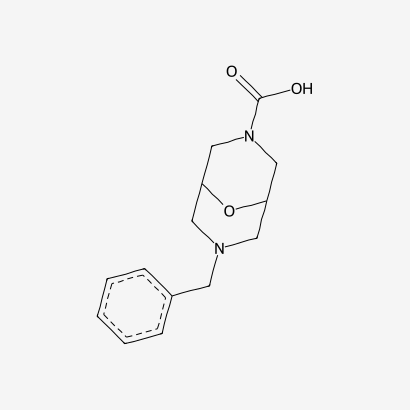 O=C(O)N1CC2CN(Cc3ccccc3)CC(C1)O2